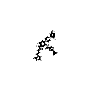 Cc1ccc(C)c(N2CCN(c3cc(Cl)c(C(=O)NCCCN4CCOC4=O)cc3NC(=O)c3coc(C4CC4)n3)CC2)c1